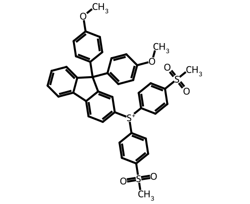 COc1ccc(C2(c3ccc(OC)cc3)c3ccccc3-c3ccc([S+](c4ccc(S(C)(=O)=O)cc4)c4ccc(S(C)(=O)=O)cc4)cc32)cc1